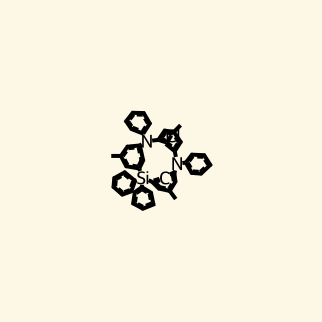 Cc1cc2cc(c1)[Si](c1ccccc1)(c1ccccc1)c1cc(C)cc(c1)N(c1ccccc1)c1cc(C)cc(c1Cl)N2c1ccccc1